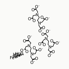 O.O.O=C([O-])CN(CCN(CC(=O)[O-])CC(=O)[O-])CC(=O)[O-].O=C([O-])CN(CCN(CC(=O)[O-])CC(=O)[O-])CC(=O)[O-].O=C([O-])CN(CCN(CC(=O)[O-])CC(=O)[O-])CC(=O)[O-].[Fe+3].[Fe+3].[Fe+3].[Fe+3]